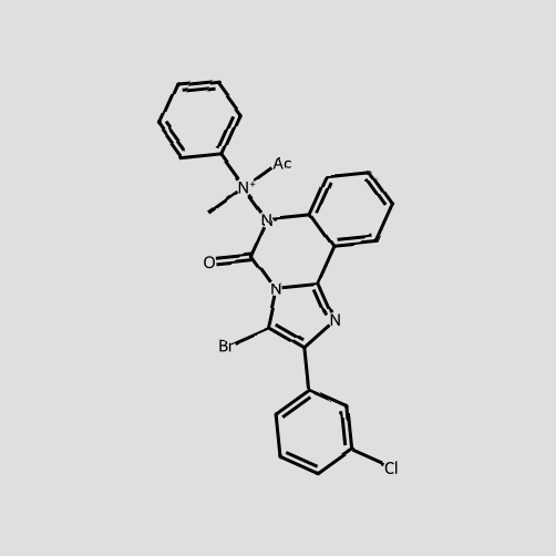 CC(=O)[N+](C)(c1ccccc1)n1c(=O)n2c(Br)c(-c3cccc(Cl)c3)nc2c2ccccc21